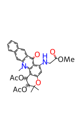 COC(=O)CNc1cc2c(c3c1c(=O)c1cc4ccccc4cc1n3C)[C@@H](OC(C)=O)[C@@H](OC(C)=O)C(C)(C)O2